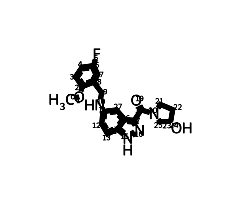 COc1ccc(F)cc1CNc1ccc2[nH]nc(C(=O)N3CCC(O)C3)c2c1